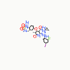 Cc1c(Oc2ccc3c(c2)CN(C)S(=O)(=O)N3)c(C(=O)NC2CC2)c(Nc2ccc(I)cc2F)n(C)c1=O